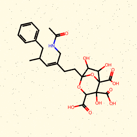 CC(=O)NCC(=CC(C)Cc1ccccc1)CCC12OC(C(=O)O)C(O)(C(=O)O)C(C(=O)O)(O1)C(O)C2O